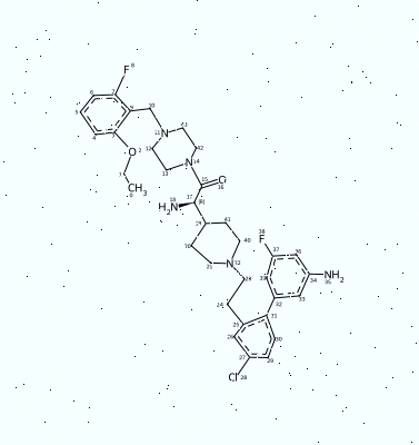 CCOc1cccc(F)c1CN1CCN(C(=O)[C@H](N)C2CCN(CCc3cc(Cl)ccc3-c3cc(N)cc(F)c3)CC2)CC1